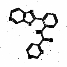 O=C(Nc1ccccc1-c1nc2ccncc2s1)c1ccncn1